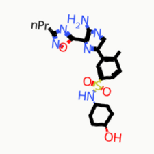 CCCc1noc(-c2nc(-c3cc(S(=O)(=O)N[C@H]4CC[C@H](O)CC4)ccc3C)cnc2N)n1